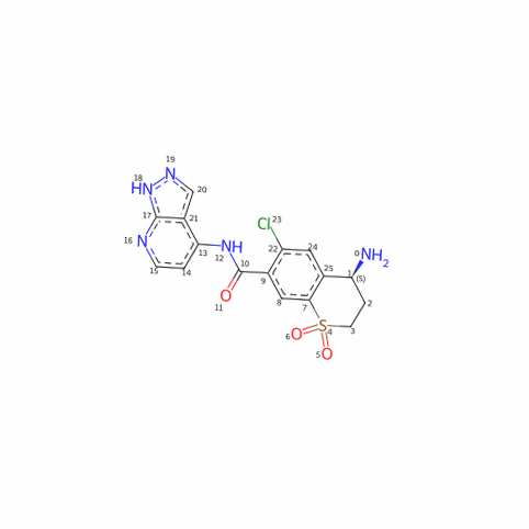 N[C@H]1CCS(=O)(=O)c2cc(C(=O)Nc3ccnc4[nH]ncc34)c(Cl)cc21